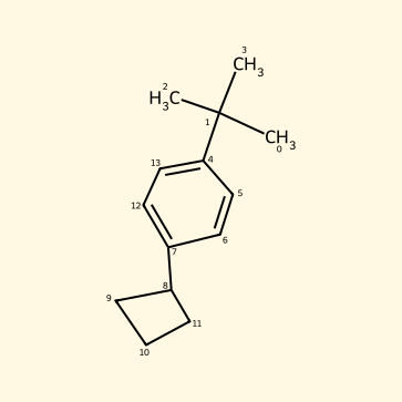 CC(C)(C)c1ccc(C2CCC2)cc1